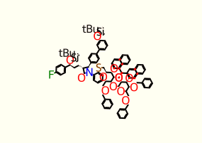 CC(C)(C)[Si](C)(C)Oc1cccc(-c2ccc([C@@H]3[C@@H](CC[C@H](O[Si](C)(C)C(C)(C)C)c4ccc(F)cc4)C(=O)N3c3ccccc3)c(SC[C@@H]3OC(COCc4ccccc4)[C@@H](O[C@@H]4OC(COCc5ccccc5)[C@@H](OCc5ccccc5)[C@@H](OCc5ccccc5)C4OCc4ccccc4)[C@@H](OCc4ccccc4)C3OCc3ccccc3)c2)c1